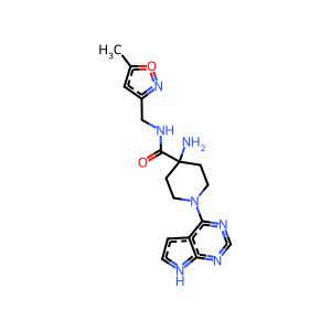 Cc1cc(CNC(=O)C2(N)CCN(c3ncnc4[nH]ccc34)CC2)no1